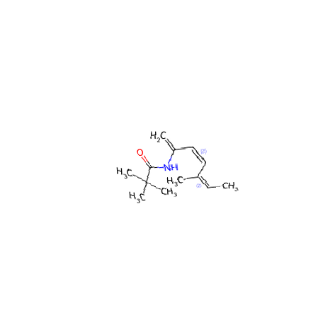 C=C(/C=C\C(C)=C/C)NC(=O)C(C)(C)C